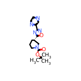 CC(C)(C)OC(=O)N1CCC[C@H](c2nc(-c3cnccn3)no2)C1